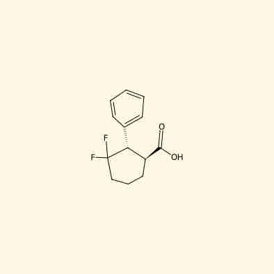 O=C(O)[C@H]1CCCC(F)(F)[C@@H]1c1ccccc1